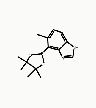 Cc1ccc2[nH]cnc2c1B1OC(C)(C)C(C)(C)O1